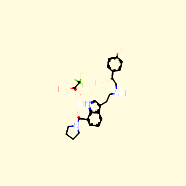 C[C@H](NCCc1c[nH]c2c(C(=O)N3CCCC3)cccc12)[C@H](O)c1ccc(O)cc1.O=C(O)C(F)(F)F